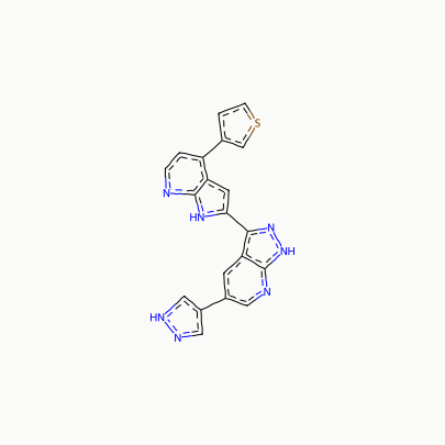 c1cc(-c2ccsc2)c2cc(-c3n[nH]c4ncc(-c5cn[nH]c5)cc34)[nH]c2n1